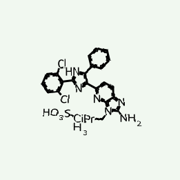 CC(C)Cn1c(N)nc2ccc(-c3nc(-c4c(Cl)cccc4Cl)[nH]c3-c3ccccc3)nc21.CS(=O)(=O)O